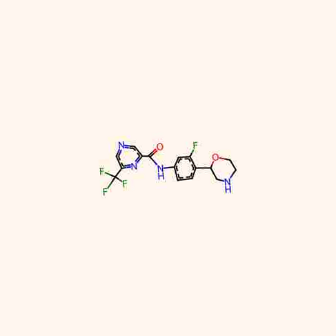 O=C(Nc1ccc(C2CNCCO2)c(F)c1)c1cncc(C(F)(F)F)n1